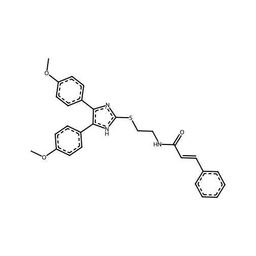 COc1ccc(-c2nc(SCCNC(=O)C=Cc3ccccc3)[nH]c2-c2ccc(OC)cc2)cc1